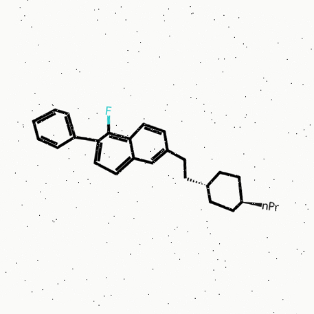 CCC[C@H]1CC[C@H](CCc2ccc3c(F)c(-c4ccccc4)ccc3c2)CC1